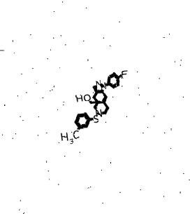 Cc1cccc(SN2CCC3=Cc4c(cnn4-c4ccc(F)cc4)CC3(CO)C2)c1